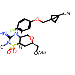 COC[C@H]1C[C@@H]2[C@](c3cc(OCC45CC(C#N)(C4)C5)ccc3F)(CO1)NC(=N)N(C)S2(=O)=O